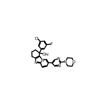 OC1(c2cc(F)cc(Cl)c2)CCCc2nc3ccc(-c4cnc(N5CCOCC5)nc4)cn3c21